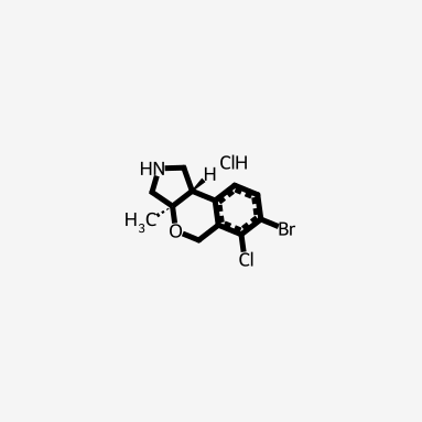 C[C@]12CNC[C@@H]1c1ccc(Br)c(Cl)c1CO2.Cl